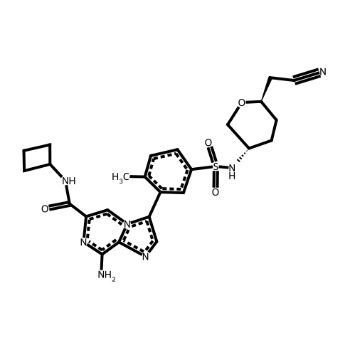 Cc1ccc(S(=O)(=O)N[C@H]2CC[C@H](CC#N)OC2)cc1-c1cnc2c(N)nc(C(=O)NC3CCC3)cn12